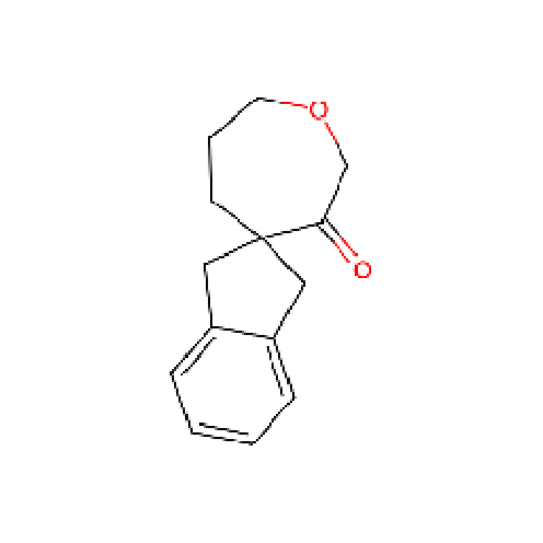 O=C1COCCCC12Cc1ccccc1C2